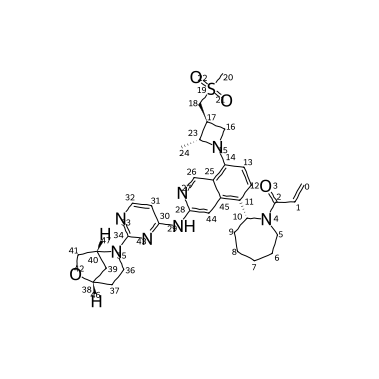 C=CC(=O)N1CCCCC[C@@H]1c1ccc(N2C[C@H](CS(C)(=O)=O)[C@H]2C)c2cnc(Nc3ccnc(N4CC[C@H]5C[C@@H]4CO5)n3)cc12